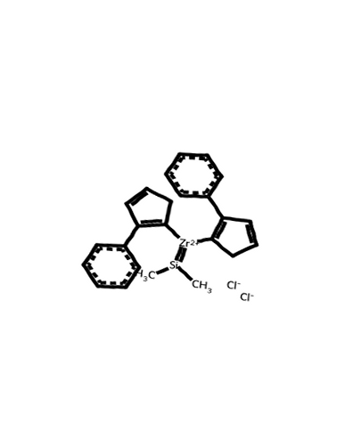 C[Si](C)=[Zr+2]([C]1=C(c2ccccc2)C=CC1)[C]1=C(c2ccccc2)C=CC1.[Cl-].[Cl-]